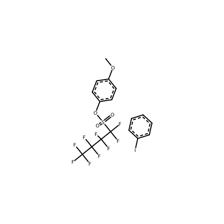 COc1ccc(OS(=O)(=O)C(F)(F)C(F)(F)C(F)(F)C(F)(F)F)cc1.Ic1ccccc1